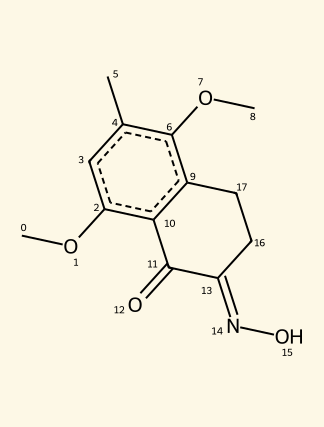 COc1cc(C)c(OC)c2c1C(=O)/C(=N/O)CC2